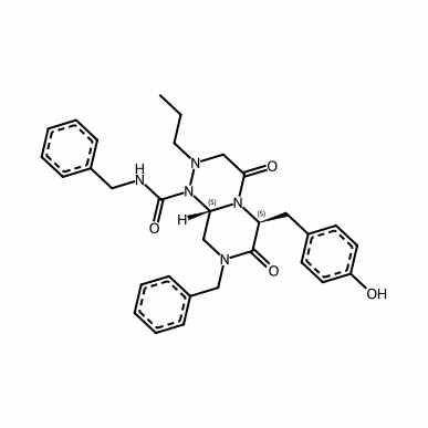 CCCN1CC(=O)N2[C@@H](Cc3ccc(O)cc3)C(=O)N(Cc3ccccc3)C[C@@H]2N1C(=O)NCc1ccccc1